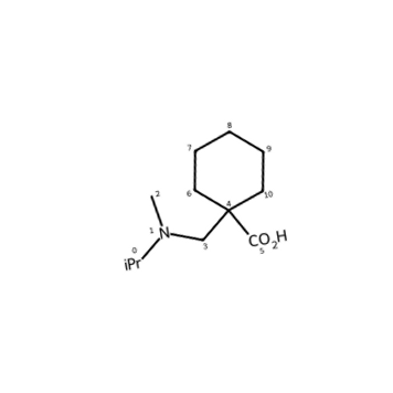 CC(C)N(C)CC1(C(=O)O)CCCCC1